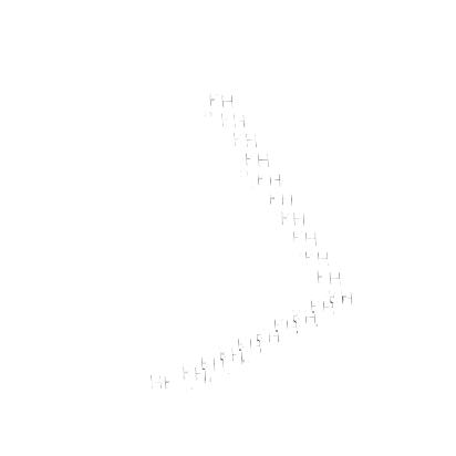 [KH].[KH].[KH].[KH].[KH].[KH].[KH].[KH].[KH].[KH].[KH].[KH].[KH].[KH].[KH].[KH].[KH].[KH].[KH].[KH]